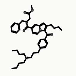 CCCCc1cc2cc(C(=O)N(CC(=O)OC)Cc3ccccc3)ccn2c1C(=O)c1ccc(CCCN(CCCC)CCCC)cc1